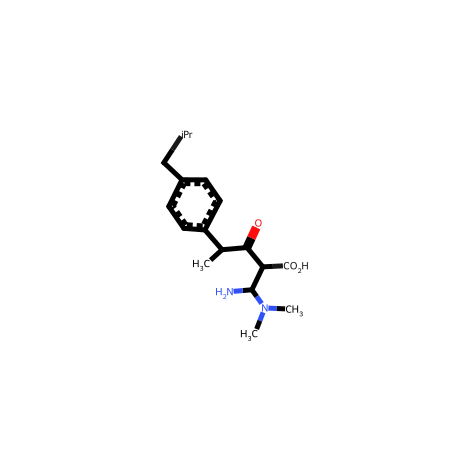 CC(C)Cc1ccc(C(C)C(=O)C(C(=O)O)C(N)N(C)C)cc1